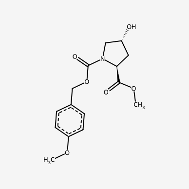 COC(=O)[C@@H]1C[C@@H](O)CN1C(=O)OCc1ccc(OC)cc1